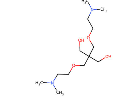 CN(C)CCOCC(CO)(CO)COCCN(C)C